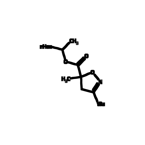 CCCCCCC(C)OC(=O)C1(C)CC(C(C)(C)C)=NO1